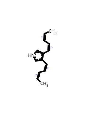 C/C=C\C=C/c1c[nH]cc1/C=C\C=C/C